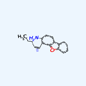 CCC/C=C\c1c(N)ccc2c1oc1ccccc12